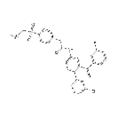 CCS(=O)(=O)c1ccc(CC(=O)Nc2ccc(-c3cccc(Cl)c3)c(C(=O)c3cccc(F)c3)n2)cc1